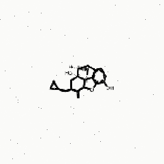 C=C1C(CC2CC2)C[C@@]2(O)[C@H]3Cc4ccc(O)c5c4[C@@]2(CCN3)C1O5